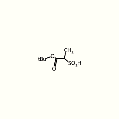 CC(C(=O)OC(C)(C)C)S(=O)(=O)O